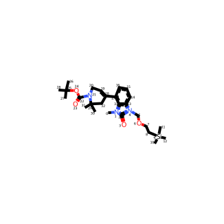 Cn1c(=O)n(COCC[Si](C)(C)C)c2cccc(C3=CCN(C(=O)OC(C)(C)C)C(C)(C)C3)c21